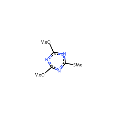 COc1nc(OC)nc(SC)n1